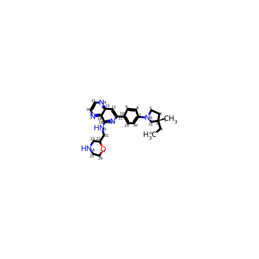 CC[C@@]1(C)CCN(c2ccc(-c3cc4nccnc4c(NCC4CNCCO4)n3)cc2)C1